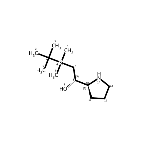 CC(C)(C)[Si](C)(C)C[C@@H](O)[C@@H]1CCCN1